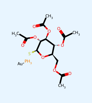 CC(=O)OC[C@H]1O[C@@H]([S-])[C@H](OC(C)=O)[C@@H](OC(C)=O)[C@@H]1OC(C)=O.P.[Au+]